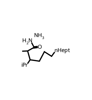 CCCCCCCCCCC(C(C)C)C(C)C(N)=O.N